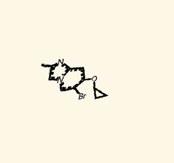 Cc1cn2cc(Br)c(OC3CC3)cc2n1